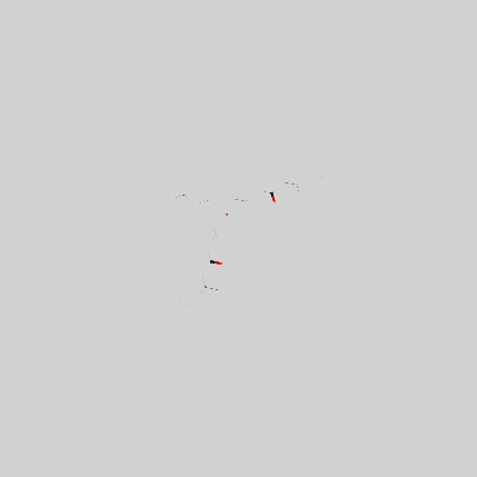 CCOCP(=O)(OCOC(=O)OC(C)C)OCOC(=O)OC(C)C